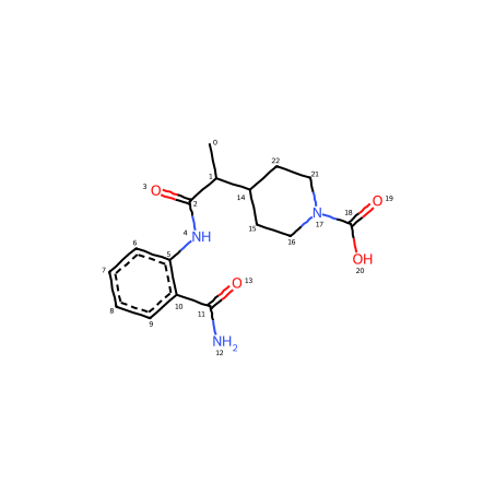 CC(C(=O)Nc1ccccc1C(N)=O)C1CCN(C(=O)O)CC1